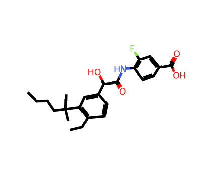 CCCCC(C)(C)c1cc(C(O)C(=O)Nc2ccc(C(=O)O)cc2F)ccc1CC